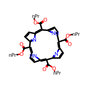 CCCOC(=O)c1c2nc(c(C(=O)OCCC)c3ccc([nH]3)c(C(=O)OCCC)c3nc(c(C(=O)OCCC)c4ccc1[nH]4)C=C3)C=C2